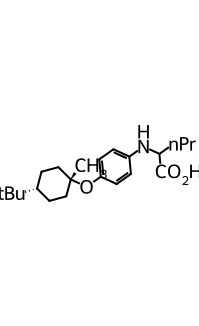 CCCC(Nc1ccc(O[C@]2(C)CC[C@H](C(C)(C)C)CC2)cc1)C(=O)O